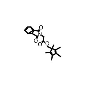 CC1=C(C)C(C)(COC(=O)CN2C(=O)C3C4C=CC(C4)C3C2=O)C(C)=C1C